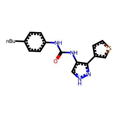 CCCCc1ccc(NC(=O)Nc2c[nH]nc2-c2ccsc2)cc1